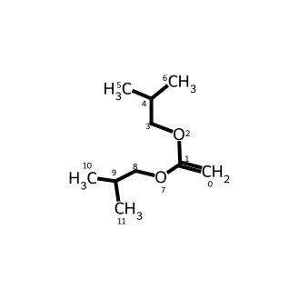 C=C(OCC(C)C)OCC(C)C